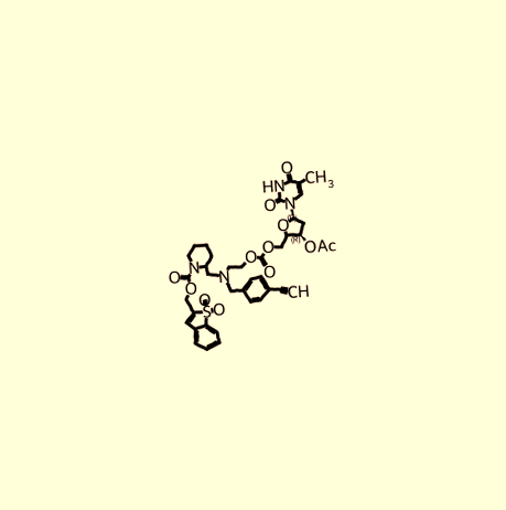 C#Cc1ccc(CN(CCOC(=O)OCC2O[C@@H](n3cc(C)c(=O)[nH]c3=O)C[C@H]2OC(C)=O)CC2CCCCN2C(=O)OCC2=Cc3ccccc3S2(=O)=O)cc1